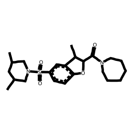 CC1CC(C)CN(S(=O)(=O)c2ccc3c(c2)C(C)C(C(=O)N2CCCCCC2)O3)C1